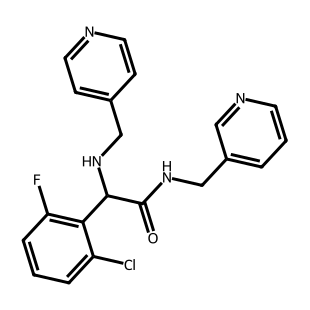 O=C(NCc1cccnc1)C(NCc1ccncc1)c1c(F)cccc1Cl